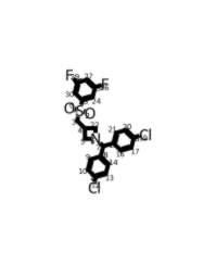 O=S(=O)(CC1CN(C(c2ccc(Cl)cc2)c2ccc(Cl)cc2)C1)c1cc(F)cc(F)c1